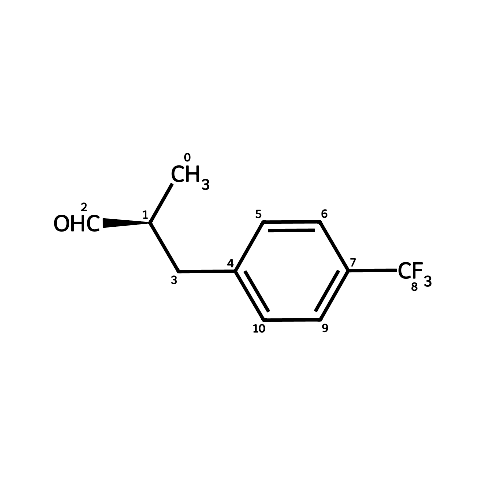 C[C@H](C=O)Cc1ccc(C(F)(F)F)cc1